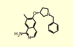 Cc1cc2c(N)nccc2cc1O[C@H]1CCN(Cc2ccccc2)C1